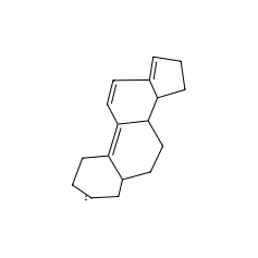 [C]1CCC2=C3C=CC4=CCCC4C3CCC2C1